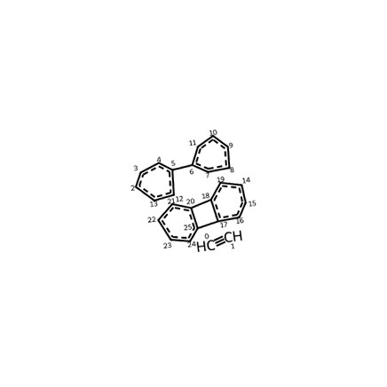 C#C.c1ccc(-c2ccccc2)cc1.c1ccc2c(c1)-c1ccccc1-2